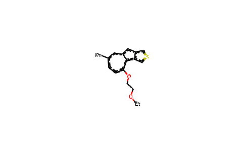 CCOCCOc1ccc(C(C)C)cc2cc3cscc3c1-2